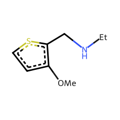 CCNCc1sccc1OC